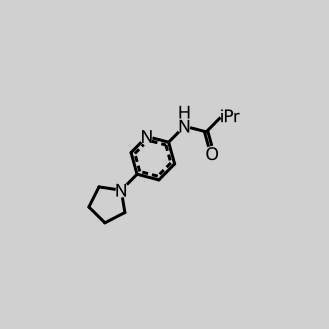 CC(C)C(=O)Nc1ccc(N2CCCC2)cn1